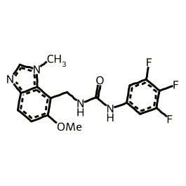 COc1ccc2ncn(C)c2c1CNC(=O)Nc1cc(F)c(F)c(F)c1